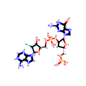 Nc1nc2c(ncn2[C@@H]2O[C@H](CO[PH](=O)O)CC2OP(=O)(O)OC[C@H]2O[C@@H](n3cnc4c(N)ncnc43)C(F)C2O)c(=O)[nH]1